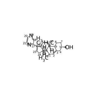 C[C@@H]1C=C2C[C@H](O)CC[C@]2(C)[C@H]2CC[C@]3(C)C(c4cnccn4)=CC[C@H]3[C@H]12